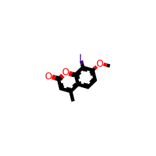 COc1ccc2c(C)cc(=O)oc2c1I